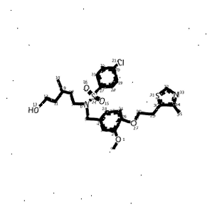 COc1cc(CN(CCC(C)CCO)S(=O)(=O)c2ccc(Cl)cc2)ccc1OCCc1scnc1C